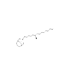 [CH2]CCCCCCCCC(C#N)CCCCC[C]1OC2CCC(O1)C1CCCC2CC1